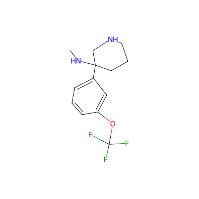 CNC1(c2cccc(OC(F)(F)F)c2)CCCNC1